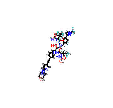 COC(=O)NC(C(=O)NC(Cc1ccc(C#Cc2ccc(N3CC4COCC(C3)N4C)nc2)cc1)C(O)CN(Cc1c(F)cc(-c2ccn(C(F)F)n2)cc1F)NC(=O)C(NC(=O)O)C(C)(C)C(F)(F)F)C(C)(C)C(F)(F)F